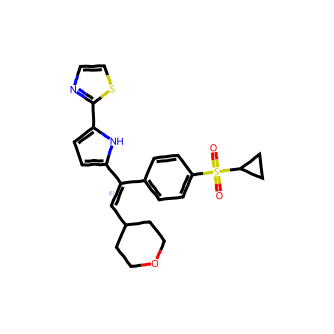 O=S(=O)(c1ccc(/C(=C\C2CCOCC2)c2ccc(-c3nccs3)[nH]2)cc1)C1CC1